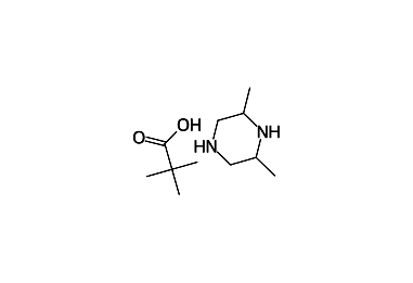 CC(C)(C)C(=O)O.CC1CNCC(C)N1